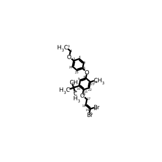 CCOc1ccc(Oc2cc(C(C)(C)C)c(OCC=C(Br)Br)cc2C)cc1